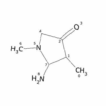 CC1C(=O)CN(C)C1N